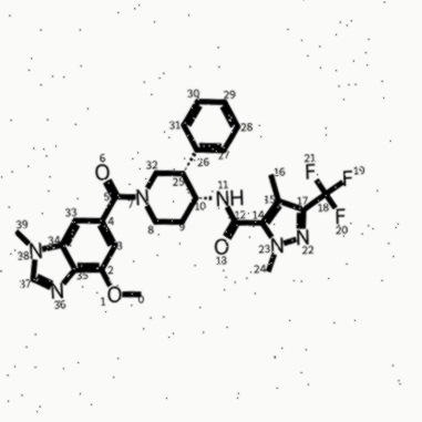 COc1cc(C(=O)N2CC[C@@H](NC(=O)c3c(C)c(C(F)(F)F)nn3C)[C@@H](c3ccccc3)C2)cc2c1ncn2C